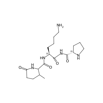 CC1CCC(=O)NC1C(=O)N[C@@H](CCCCN)C(=O)NC(=O)[C@@H]1CCCN1